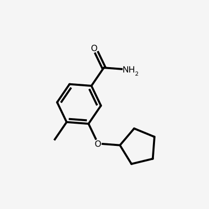 Cc1ccc(C(N)=O)cc1OC1CCCC1